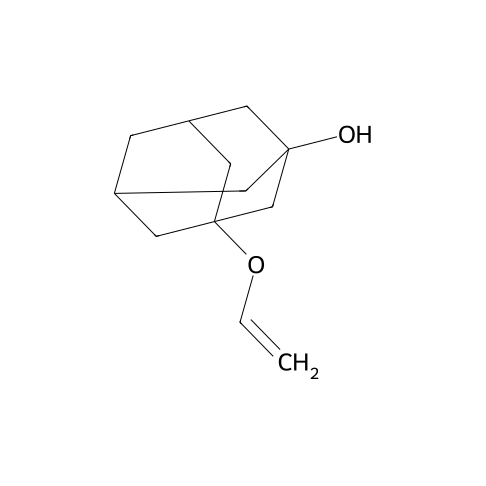 C=COC12CC3CC(CC(O)(C3)C1)C2